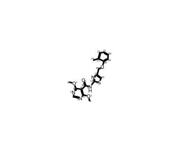 COc1ncnc(OC)c1C(=O)Nc1nc(COc2ccccc2C)cs1